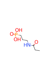 CCC(=O)NCCCP(=O)(O)O